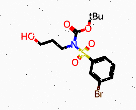 CC(C)(C)OC(=O)N(CCCO)S(=O)(=O)c1cccc(Br)c1